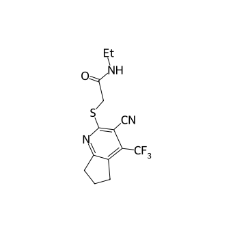 CCNC(=O)CSc1nc2c(c(C(F)(F)F)c1C#N)CCC2